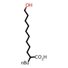 CCCCC(CCCCCCCCCO)C(=O)O